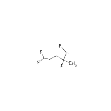 CC(F)([CH]F)CCC(F)F